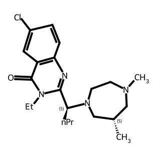 CCC[C@@H](c1nc2ccc(Cl)cc2c(=O)n1CC)N1CCN(C)C[C@H](C)C1